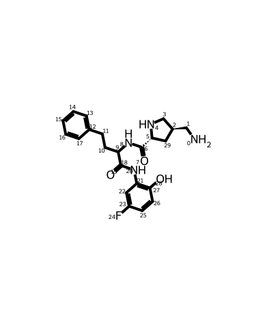 NC[C@@H]1CN[C@@H](C(=O)NC(CCc2ccccc2)C(=O)Nc2cc(F)ccc2O)C1